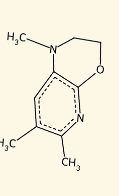 Cc1cc2c(nc1C)OCCN2C